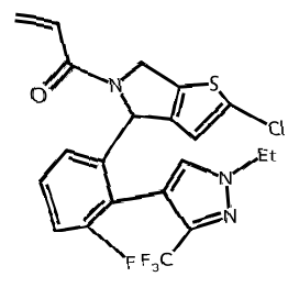 C=CC(=O)N1Cc2sc(Cl)cc2C1c1cccc(F)c1-c1cn(CC)nc1C(F)(F)F